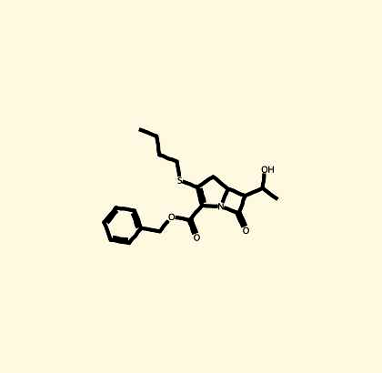 CCCCSC1=C(C(=O)OCc2ccccc2)N2C(=O)C(C(C)O)C2C1